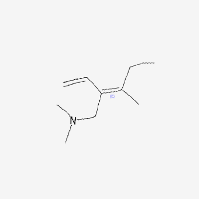 C=C/C(CN(C)C)=C(/C)CC